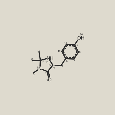 CN1C(=O)[C@H](Cc2ccc(O)cc2)NC1(C)C